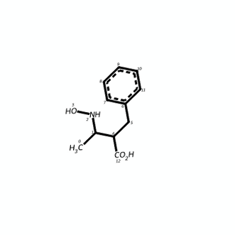 CC(NO)C(Cc1ccccc1)C(=O)O